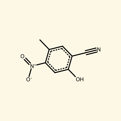 Cc1cc(C#N)c(O)cc1[N+](=O)[O-]